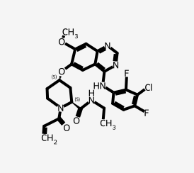 C=CC(=O)N1CC[C@H](Oc2cc3c(Nc4ccc(F)c(Cl)c4F)ncnc3cc2OC)C[C@H]1C(=O)NCC